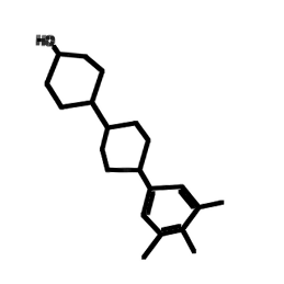 Cc1cc(C2CCC(C3CCC(O)CC3)CC2)cc(C)c1C